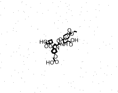 CCOC(=O)N1CCN(C(=O)C(CCC(=O)O)NC(=O)c2cc(OC3(C(=O)O)CCC3)c3ccc(OCC(=O)O)cc3n2)CC1